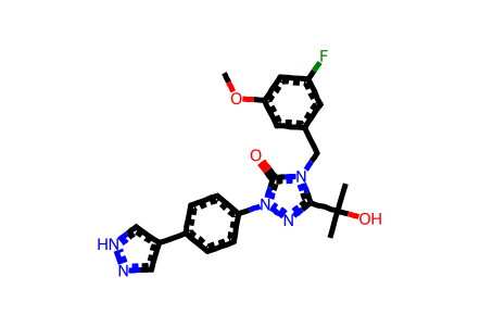 COc1cc(F)cc(Cn2c(C(C)(C)O)nn(-c3ccc(-c4cn[nH]c4)cc3)c2=O)c1